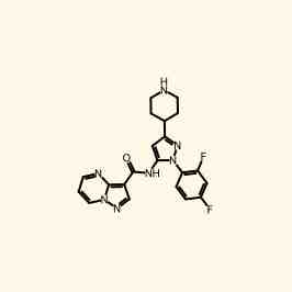 O=C(Nc1cc(C2CCNCC2)nn1-c1ccc(F)cc1F)c1cnn2cccnc12